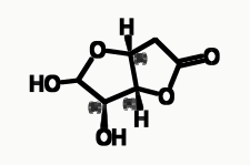 O=C1C[C@H]2OC(O)[C@H](O)[C@H]2O1